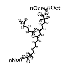 CCCCCCCCCOC(=O)C(C)(C)CCCCCC(CCCCCC(C)(C)C(=O)OC(CCCCCCCC)CCCCCCCC)OC(=O)CCCN(C)C